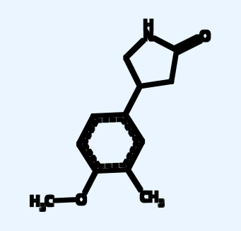 COc1ccc(C2CNC(=O)C2)cc1C